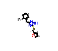 CC(C)c1ccccc1Cc1n[nH]c(SCc2ccco2)n1